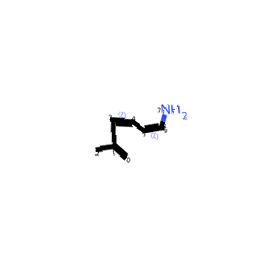 C=C(C)/C=C\C=C/N